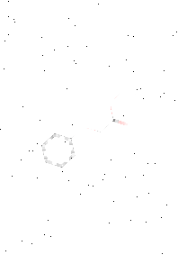 CC(C)(C)OC(=O)COc1ccccc1